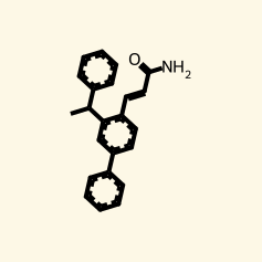 CC(c1ccccc1)c1cc(-c2ccccc2)ccc1C=CC(N)=O